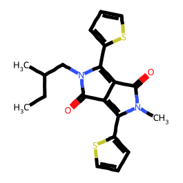 CCC(C)CN1C(=O)C2=C(c3cccs3)N(C)C(=O)C2=C1c1cccs1